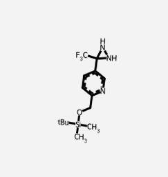 CC(C)(C)[Si](C)(C)OCc1ccc(C2(C(F)(F)F)NN2)cn1